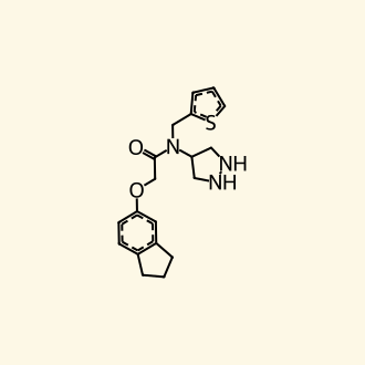 O=C(COc1ccc2c(c1)CCC2)N(Cc1cccs1)C1CNNC1